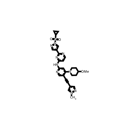 COC1CCN(c2cc(Nc3ccnc(-c4cnn(S(=O)(=O)C5CC5)c4)n3)ncc2C#Cc2cnn(C)c2)CC1